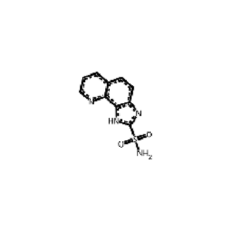 NS(=O)(=O)c1nc2ccc3cccnc3c2[nH]1